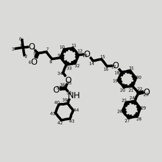 CC(C)(C)OC(=O)CCc1ccc(OCCCOc2ccc(C(=O)c3ccccc3)cc2)cc1COC(=O)NC1CCCCC1